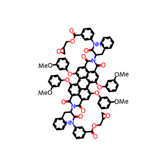 COc1cccc(Oc2cc3c4c(cc(Oc5cccc(OC)c5)c5c6c(Oc7cccc(OC)c7)cc7c8c(cc(Oc9cccc(OC)c9)c(c2c45)c86)C(=O)N(C(Cc2ccccc2)C(=O)Nc2cccc(C(=O)OCC4CO4)c2)C7=O)C(=O)N(C(Cc2ccccc2)C(=O)Nc2cccc(C(=O)OCC4CO4)c2)C3=O)c1